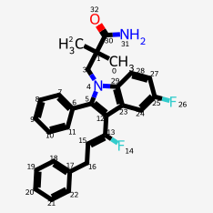 CC(C)(Cn1c(-c2ccccc2)c(/C(F)=C/Cc2ccccc2)c2cc(F)ccc21)C(N)=O